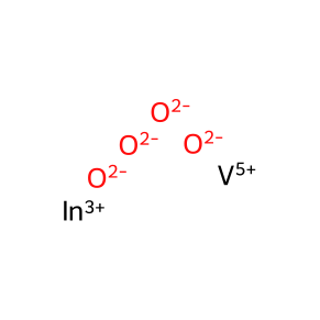 [In+3].[O-2].[O-2].[O-2].[O-2].[V+5]